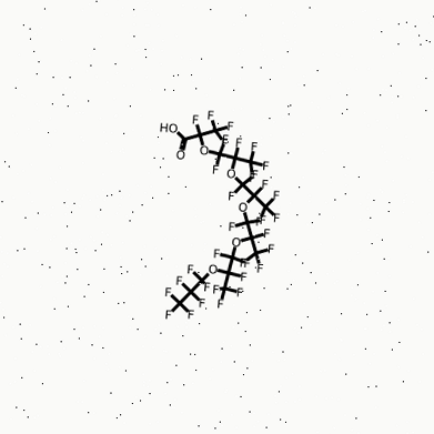 O=C(O)C(F)(OC(F)(F)C(F)(OC(F)(F)C(F)(OC(F)(F)C(F)(OC(F)(F)C(F)(OC(F)(F)C(F)(F)C(F)(F)F)C(F)(F)F)C(F)(F)F)C(F)(F)F)C(F)(F)F)C(F)(F)F